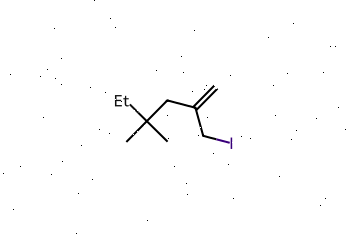 C=C(CI)CC(C)(C)CC